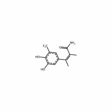 CC(C(N)=O)=C(C)c1cc(O)c(O)c(C(F)(F)F)c1